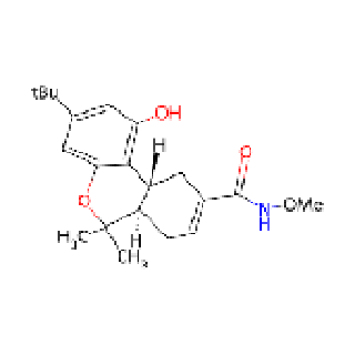 CONC(=O)C1=CC[C@@H]2[C@@H](C1)c1c(O)cc(C(C)(C)C)cc1OC2(C)C